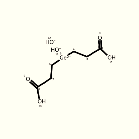 O=C(O)C[CH2][Ge+2][CH2]CC(=O)O.[OH-].[OH-]